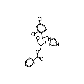 O=C(OC[C@H]1COC(Cn2cncn2)(c2ccc(Cl)cc2Cl)O1)c1ccccc1